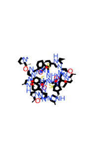 C[C@H](Oc1cc(N2CC(C3CC[C@@]4(CCCc5c4noc5-c4nc(O[C@@H](C)[C@@H]5CCCN5C)cc(N5C[C@H](C)N[C@@H](C)C5)n4)c4c3sc(N)c4C#N)NC3(CC3)C2)nc(-c2onc3c2CCC[C@@]32CC(C[C@H]3CN(c4cc(-c5onc6c5CCC[C@@]65CCCc6sc(N)c(C#N)c65)nc(O[C@@H](C)[C@@H]5CCCN5C)n4)C[C@H](C)N3)Cc3sc(N)c(C#N)c32)n1)[C@@H]1CCCN1C